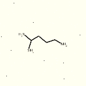 NCCCC(N)[SiH3]